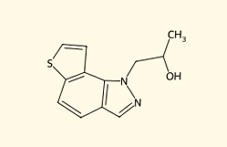 CC(O)Cn1ncc2ccc3sccc3c21